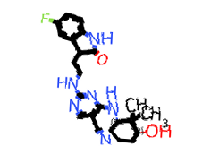 CC1(C)[C@H](O)CCC[C@@H]1Nc1nc(NCCC2C(=O)Nc3ccc(F)cc32)ncc1C#N